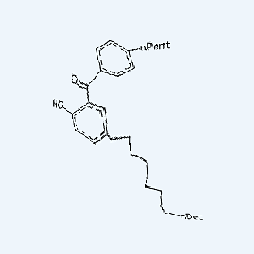 CCCCCCCCCCCCCCCCc1ccc(O)c(C(=O)c2ccc(CCCCC)cc2)c1